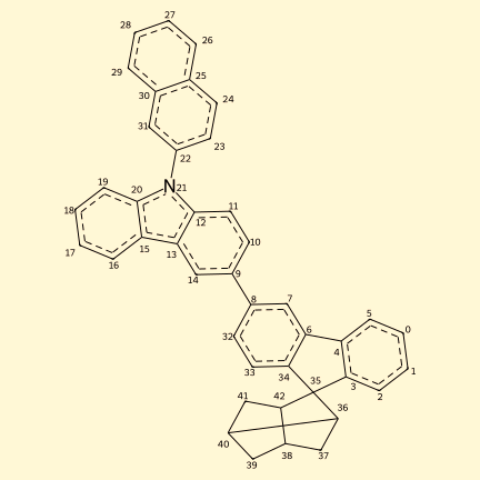 c1ccc2c(c1)-c1cc(-c3ccc4c(c3)c3ccccc3n4-c3ccc4ccccc4c3)ccc1C21C2CC3CC2CC31